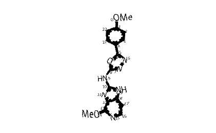 COc1ccc(-c2nnc(Nc3nc4c(OC)nccc4[nH]3)o2)cc1